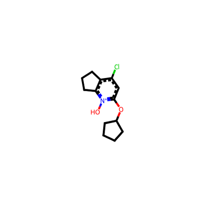 O[n+]1c(OC2CCCC2)cc(Cl)c2c1CCC2